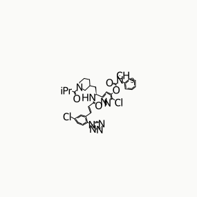 CC(C)C(=O)N1CCCC(C[C@H](NC(=O)/C=C/c2cc(Cl)ccc2-n2cnnn2)c2cc(OC(=O)N(C)c3ccccc3)c(Cl)nn2)C1